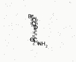 CC(CCN)[S+]([O-])CCCCCCOc1ccc2cc(Br)ccc2c1